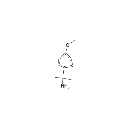 COc1ccc(C(C)(C)N)cc1